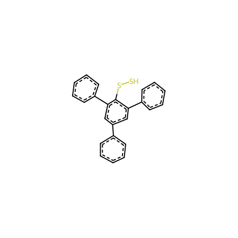 SSc1c(-c2ccccc2)cc(-c2ccccc2)cc1-c1ccccc1